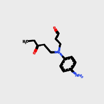 CCC(=O)CCN(CCC=O)c1ccc(N)cc1